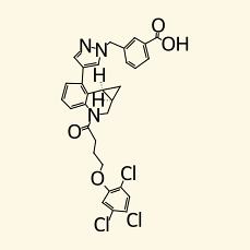 O=C(O)c1cccc(Cn2cc(-c3cccc4c3[C@H]3C[C@H]3CN4C(=O)CCCOc3cc(Cl)c(Cl)cc3Cl)cn2)c1